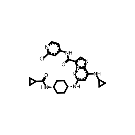 O=C(Nc1ccnc(Cl)c1)c1cnc2c(NC3CC3)cc(N[C@H]3CC[C@H](NC(=O)C4CC4)CC3)nn12